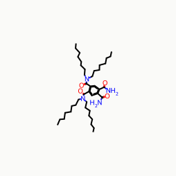 CCCCCCCCN(CCCCCCCC)C(=O)c1cc(C(N)=O)c(C(N)=O)cc1C(=O)N(CCCCCCCC)CCCCCCCC